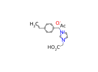 C=Cc1ccc(C[n+]2ccn(CC(=O)O)c2)cc1.CC(=O)[O-]